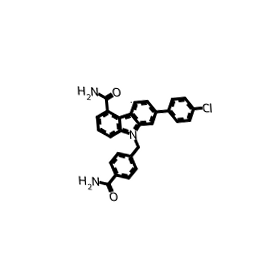 NC(=O)c1ccc(Cn2c3cc(-c4ccc(Cl)cc4)c[c]c3c3c(C(N)=O)cccc32)cc1